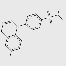 O=S(=O)(c1ccc(N2C=NCc3cc(Br)ccc32)cc1)C(F)F